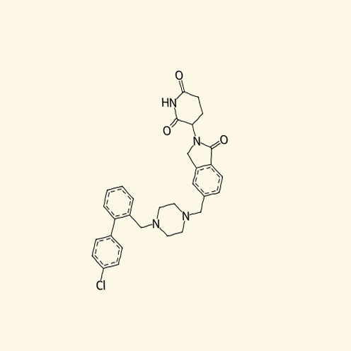 O=C1CCC(N2Cc3cc(CN4CCN(Cc5ccccc5-c5ccc(Cl)cc5)CC4)ccc3C2=O)C(=O)N1